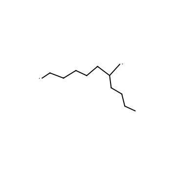 [CH2]CCCCCC([CH2])CCCC